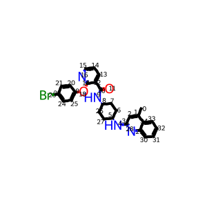 Cc1cc(N[C@H]2CC[C@@H](NC(=O)c3cccnc3Oc3ccc(Br)cc3)CC2)nc2ccccc12